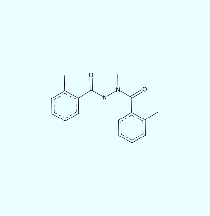 Cc1ccccc1C(=O)N(C)N(C)C(=O)c1ccccc1C